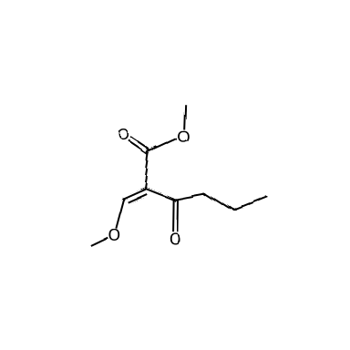 CCCC(=O)/C(=C\OC)C(=O)OC